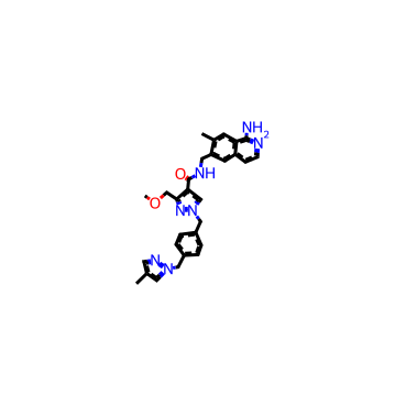 COCc1nn(Cc2ccc(Cn3cc(C)cn3)cc2)cc1C(=O)NCc1cc2ccnc(N)c2cc1C